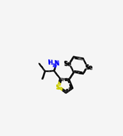 CC(C)C(N)c1sccc1C1=C[Se]C=C[Se]1